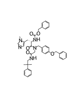 Cn1cncc1C[C@H](NC(=O)OCc1ccccc1)C(=O)N(CC(=O)NCC(C)(C)c1ccccc1)Cc1ccc(OCc2ccccc2)cc1